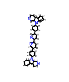 c1ccc2c(c1)c1ccncc1n2-c1ccc(-c2ccc(-c3ccc(-c4ccc(-n5c6ccccc6c6ccncc65)cc4)cn3)nc2)cc1